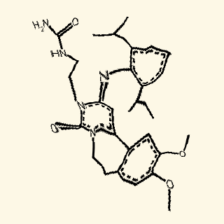 COc1cc2c(cc1OC)-c1cc(=Nc3c(C(C)C)cccc3C(C)C)n(CCNC(N)=O)c(=O)n1CC2